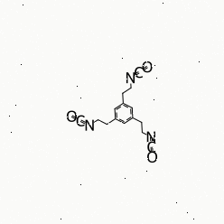 O=C=NCCc1cc(CCN=C=O)cc(CCN=C=O)c1